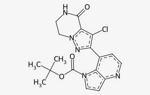 CC(C)(C)OC(=O)n1ccc2nccc(-c3nn4c(c3Cl)C(=O)NCC4)c21